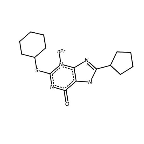 CCCn1c(SC2CCCCC2)nc(=O)c2c1N=C(C1CCCC1)[N]2